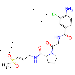 CS(=O)(=O)/C=C/CNC(=O)[C@H]1CCCN1C(=O)CNC(=O)c1ccc(N)c(Cl)c1